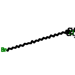 C[Si](C)(Cl)CCCCCCCCCCCCCCCCCCCCCCCCCCCCCCCCBr